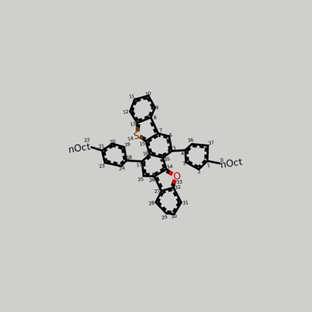 CCCCCCCCc1ccc(-c2cc3c4ccccc4sc3c3c(-c4ccc(CCCCCCCC)cc4)cc4c5ccccc5oc4c23)cc1